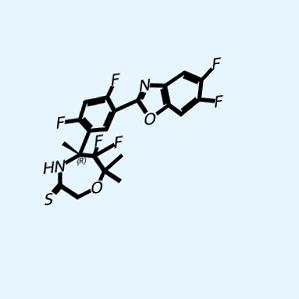 CC1(C)OCC(=S)N[C@](C)(c2cc(-c3nc4cc(F)c(F)cc4o3)c(F)cc2F)C1(F)F